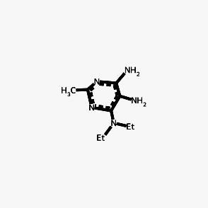 CCN(CC)c1nc(C)nc(N)c1N